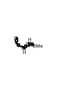 COc1ccc2c(c1)[C@]1(C[C@H]1c1ccc3c(/C=C/c4ccc(CN5CCC6(CCO6)CC5)cc4)n[nH]c3c1)C(=O)N2